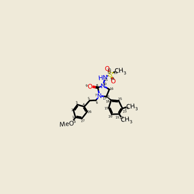 COc1ccc(CCN2C(=O)N(NS(C)(=O)=O)C[C@H]2c2ccc(C)c(C)c2)cc1